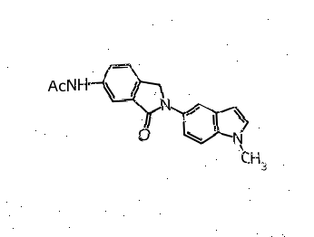 CC(=O)Nc1ccc2c(c1)C(=O)N(c1ccc3c(ccn3C)c1)C2